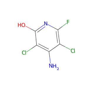 Nc1c(Cl)c(O)nc(F)c1Cl